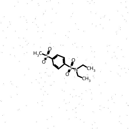 CCN(CC)S(=O)(=O)c1ccc(S(C)(=O)=O)cc1